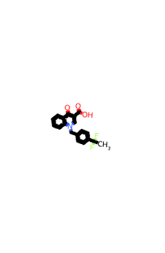 CC(F)(F)c1ccc(Cn2cc(C(=O)O)c(=O)c3ccccc32)cc1